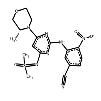 C[C@@H]1COCCN1c1cc(N=S(C)(C)=O)nc(Nc2cc(C#N)ccc2[N+](=O)[O-])n1